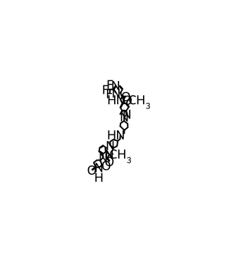 COc1cc2nn(C3CCC(CNCC4CCN(c5cccc6c5n(C)c(=O)n6C5CCC(=O)NC5=O)CC4)CC3)cc2cc1NC(=O)c1ccnc(C(F)(F)F)n1